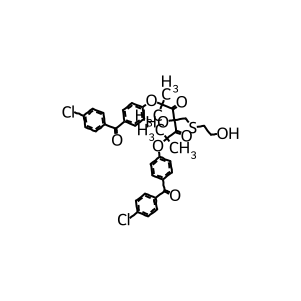 CC(C)(Oc1ccc(C(=O)c2ccc(Cl)cc2)cc1)C(=O)C(O)(CSCCO)C(=O)C(C)(C)Oc1ccc(C(=O)c2ccc(Cl)cc2)cc1